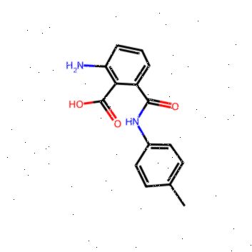 Cc1ccc(NC(=O)c2cccc(N)c2C(=O)O)cc1